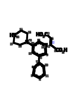 O=C(O)/C=C/C(=O)O.c1ccc(-c2cncc(N3CCNCC3)c2)cc1